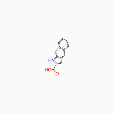 O=C(O)c1cc2cc3ccccc3cc2[nH]1